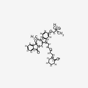 CC[n+]1c(CN2C(=O)c3ccccc3C2=O)n(CCOCCN2CCCCC2=O)c2cc(OCP(C)(C)=O)ccc21